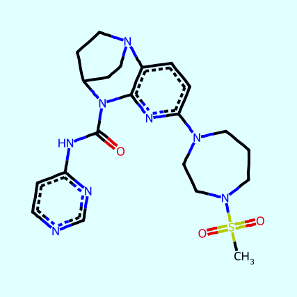 CS(=O)(=O)N1CCCN(c2ccc3c(n2)N(C(=O)Nc2ccncn2)C2CCN3CC2)CC1